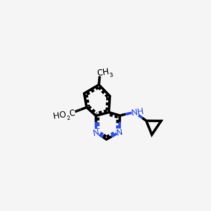 Cc1cc(C(=O)O)c2ncnc(NC3CC3)c2c1